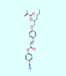 C=C(C)C(=O)OC(CCCC)COc1ccc(/C=C/C(=O)Oc2ccc(C#N)cc2)cc1